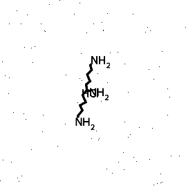 Cl.NCCCCCC(N)CCCCCN